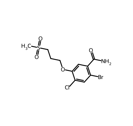 CS(=O)(=O)CCCOc1cc(C(N)=O)c(Br)cc1Cl